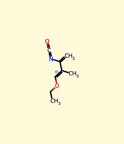 C=C(N=C=O)/C(C)=C/OCC